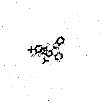 CC(C)C[C@@]1(C(=O)O)C[C@H](c2cnccn2)[C@H](c2nc3ccccc3s2)N1C(=O)c1ccc(C(C)(C)C)c(Br)c1